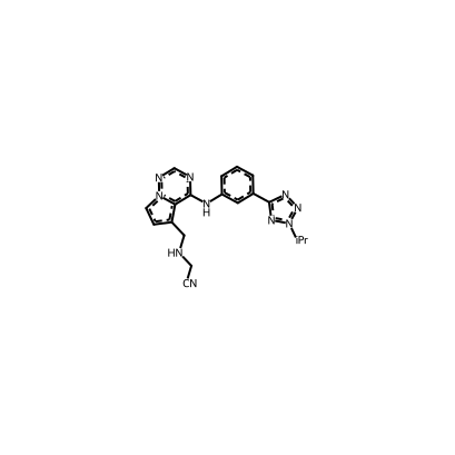 CC(C)n1nnc(-c2cccc(Nc3ncnn4ccc(CNCC#N)c34)c2)n1